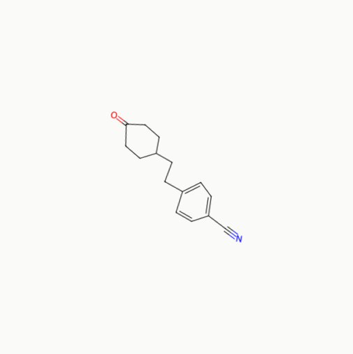 N#Cc1ccc(CCC2CCC(=O)CC2)cc1